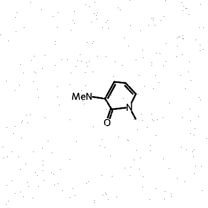 CNc1cccn(C)c1=O